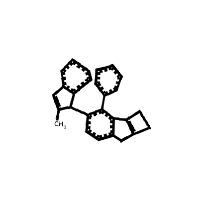 CC1=Cc2ccccc2C1c1ccc2c(c1-c1ccccc1)C1=C([CH]2)CC1